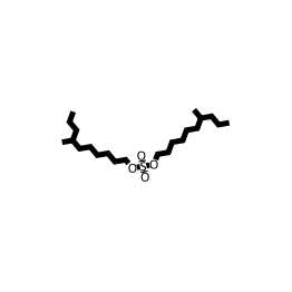 CCCC(C)CCCCCCOS(=O)(=O)OCCCCCCC(C)CCC